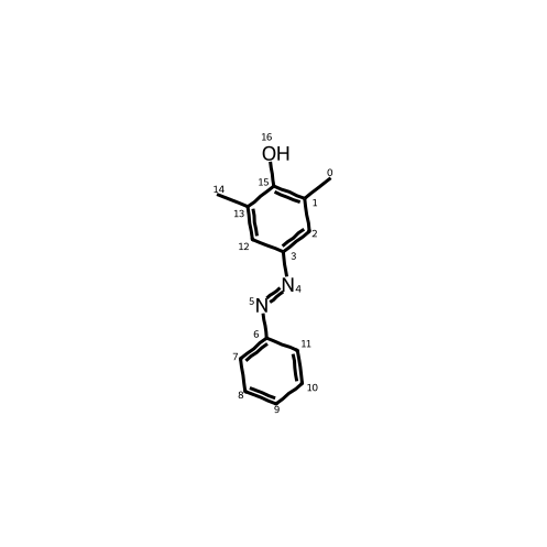 Cc1cc(/N=N/c2ccccc2)cc(C)c1O